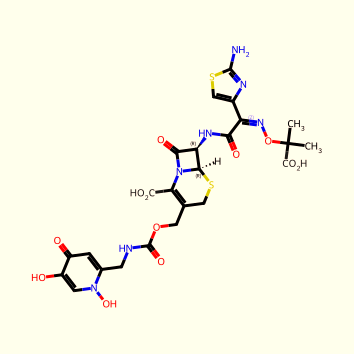 CC(C)(O/N=C(\C(=O)N[C@@H]1C(=O)N2C(C(=O)O)=C(COC(=O)NCc3cc(=O)c(O)cn3O)CS[C@H]12)c1csc(N)n1)C(=O)O